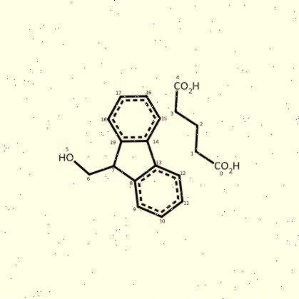 O=C(O)CCCC(=O)O.OCC1c2ccccc2-c2ccccc21